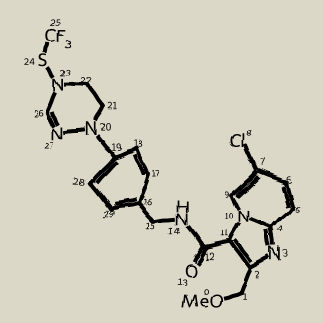 COCc1nc2ccc(Cl)cn2c1C(=O)NCc1ccc(N2CCN(SC(F)(F)F)C=N2)cc1